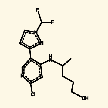 CC(CCCO)Nc1cc(Cl)ncc1-c1ccn(C(F)F)n1